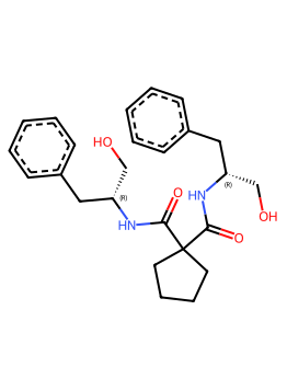 O=C(N[C@@H](CO)Cc1ccccc1)C1(C(=O)N[C@@H](CO)Cc2ccccc2)CCCC1